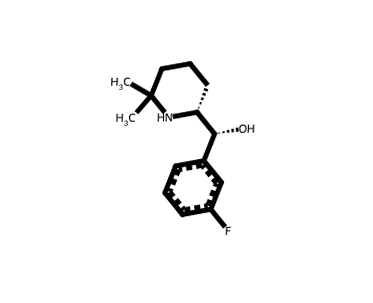 CC1(C)CCC[C@H]([C@H](O)c2cccc(F)c2)N1